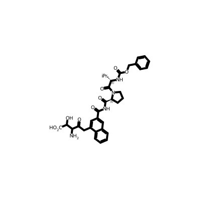 CC(C)[C@H](NC(=O)OCc1ccccc1)C(=O)N1CCC[C@H]1C(=O)NC(=O)c1cc(CC(=O)C(N)C(O)C(=O)O)c2ccccc2c1